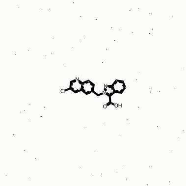 O=C(O)c1c2ccccc2nn1Cc1ccc2ncc(Cl)cc2c1